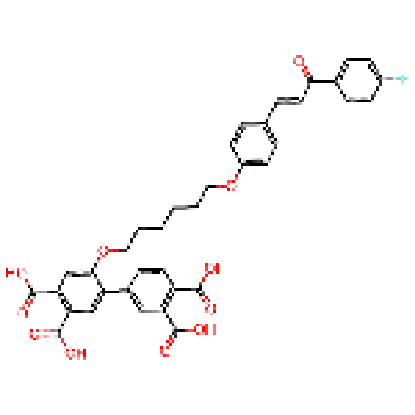 O=C(C=Cc1ccc(OCCCCCCOc2cc(C(=O)O)c(C(=O)O)cc2-c2ccc(C(=O)O)c(C(=O)O)c2)cc1)c1ccc(F)cc1